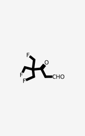 O=CCC(=O)C(CF)(CF)CF